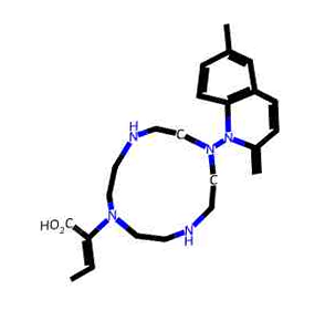 C=C1C=Cc2cc(C)ccc2N1N1CCNCCN(C(=CC)C(=O)O)CCNCC1